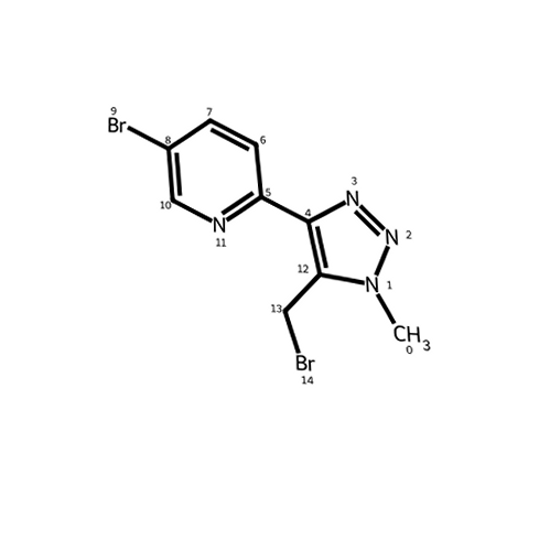 Cn1nnc(-c2ccc(Br)cn2)c1CBr